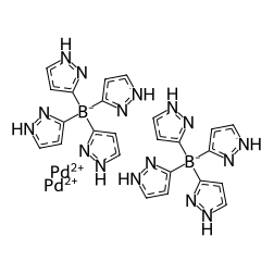 [Pd+2].[Pd+2].c1cc([B-](c2cc[nH]n2)(c2cc[nH]n2)c2cc[nH]n2)n[nH]1.c1cc([B-](c2cc[nH]n2)(c2cc[nH]n2)c2cc[nH]n2)n[nH]1